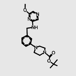 COc1cncc(NCc2cccc(N3CCN(C(=O)OC(C)(C)C)CC3)c2)n1